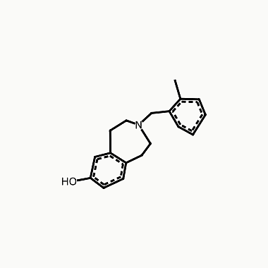 Cc1ccccc1CN1CCc2ccc(O)cc2CC1